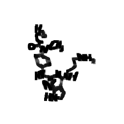 CC(=O)N(C)c1ccc(Nc2nc(NCCCN)c3cc[nH]c3n2)cc1